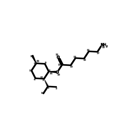 CC(C)[C@@H]1CC[C@@H](C)C[C@H]1OC(=O)CCCCCN